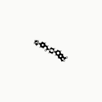 O=C1OCc2cc3c(cc21)CCC(N1CCN(C(=O)Cc2ccc(-n4cnnn4)cc2)CC1)C3